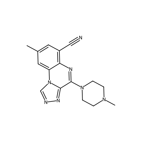 Cc1cc(C#N)c2nc(N3CCN(C)CC3)c3nncn3c2c1